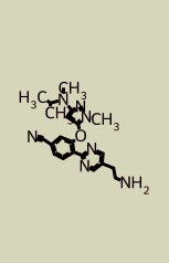 CC(C)N(C)c1cc(Oc2cc(C#N)ccc2-c2ncc(CCN)cn2)n(C)n1